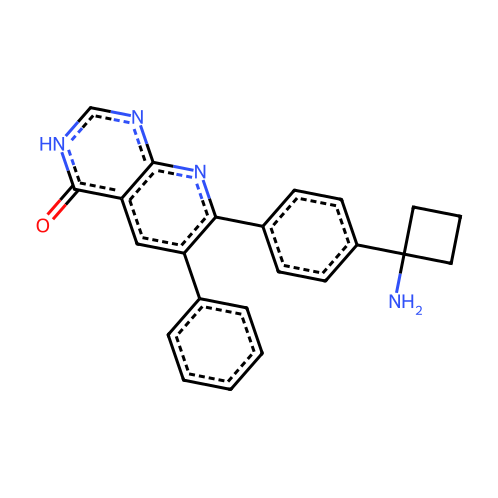 NC1(c2ccc(-c3nc4nc[nH]c(=O)c4cc3-c3ccccc3)cc2)CCC1